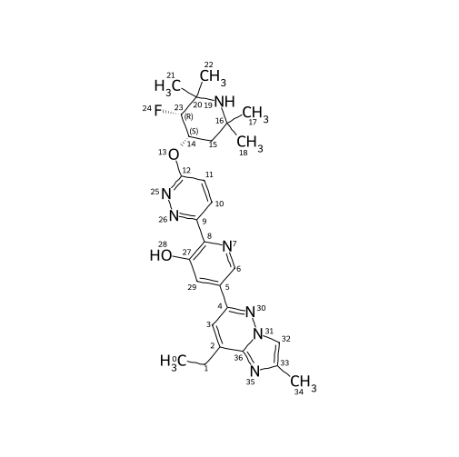 CCc1cc(-c2cnc(-c3ccc(O[C@H]4CC(C)(C)NC(C)(C)[C@H]4F)nn3)c(O)c2)nn2cc(C)nc12